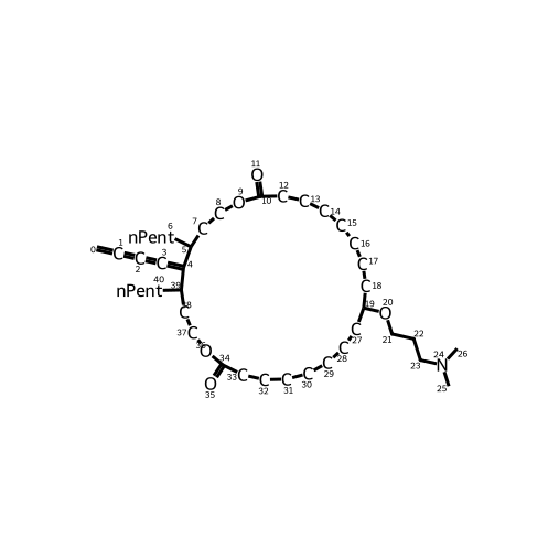 C=C=C=C=C1C(CCCCC)CCOC(=O)CCCCCCCC(OCCCN(C)C)CCCCCCCC(=O)OCCC1CCCCC